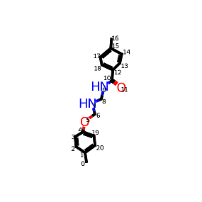 Cc1ccc(OCNCNC(=O)c2ccc(C)cc2)cc1